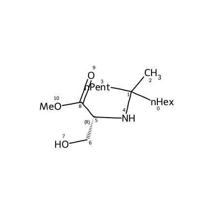 CCCCCCC(C)(CCCCC)N[C@H](CO)C(=O)OC